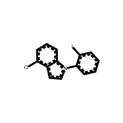 Clc1cccc2c1ccn2-c1ccccc1I